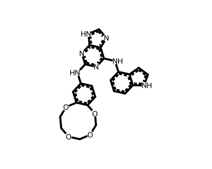 c1cc(Nc2nc(Nc3ccc4c(c3)OCCOCOCO4)nc3[nH]cnc23)c2cc[nH]c2c1